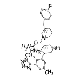 Cc1cc(-c2nnnn2C)cc(C2CNC[C@@H](CN3CCC[C@@H](Cc4ccc(F)cc4)C3)[C@@H]2NC(N)=O)c1